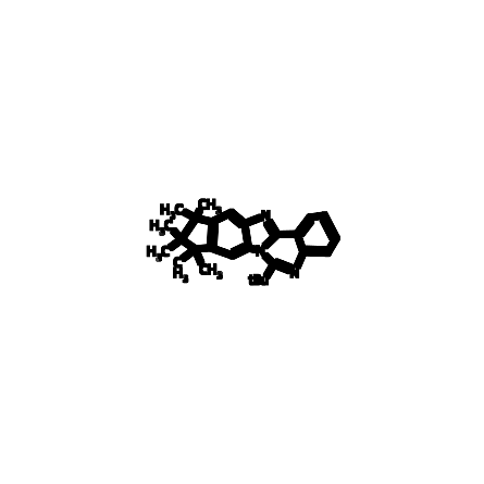 CC(C)(C)c1nc2ccccc2c2nc3cc4c(cc3n12)C(C)(C)C(C)(C)C4(C)C